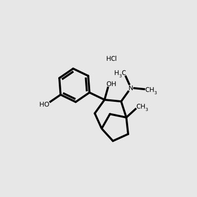 CN(C)C1C2(C)CCC(C2)CC1(O)c1cccc(O)c1.Cl